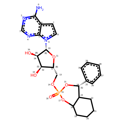 Nc1ncnc2c1ccn2[C@@H]1O[C@H](COP2(=O)OC3CCCCC3[C@@H](c3ccccc3)O2)[C@@H](O)[C@H]1O